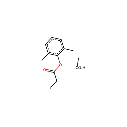 CC(=O)O.Cc1cccc(C)c1OC(=O)CI